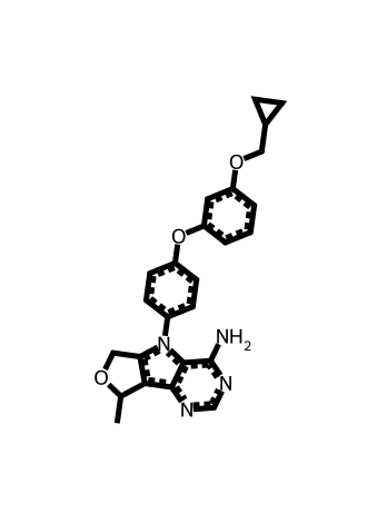 CC1OCc2c1c1ncnc(N)c1n2-c1ccc(Oc2cccc(OCC3CC3)c2)cc1